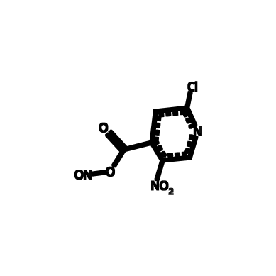 O=NOC(=O)c1cc(Cl)ncc1[N+](=O)[O-]